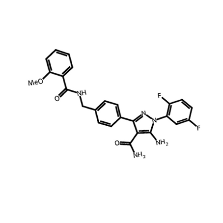 COc1ccccc1C(=O)NCc1ccc(-c2nn(-c3cc(F)ccc3F)c(N)c2C(N)=O)cc1